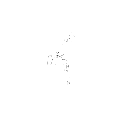 O=C(NCCCN1CCCC1)Nc1ccc(-c2nnc(CCCCOc3ccccc3)o2)cc1.O=C(O)C(=O)O